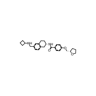 O=C(N[C@H]1CCc2cc(CNC3CCC3)ccc2C1)c1ccc(OC[C@@H]2CCCO2)cc1